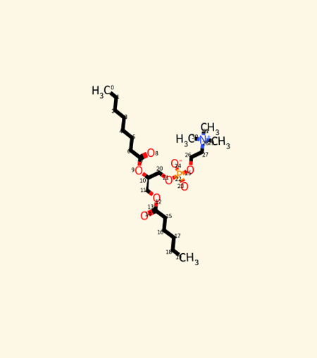 CCCCCCCC(=O)O[C@H](COC(=O)CCCCC)COP(=O)([O-])OCC[N+](C)(C)C